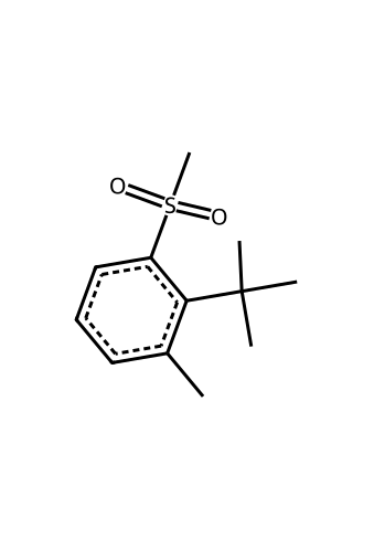 Cc1cccc(S(C)(=O)=O)c1C(C)(C)C